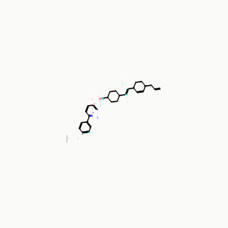 C=CCC1C=CC(/C(F)=C(\F)C2CCC(C(F)(F)Oc3ccc(-c4ccc(C(F)(F)F)c(F)c4)nc3)CC2)CC1